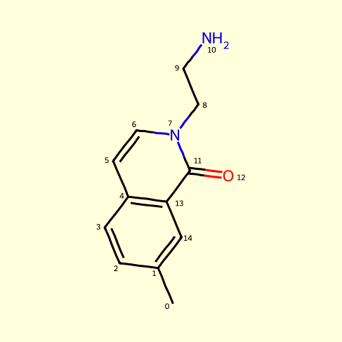 Cc1ccc2ccn(CCN)c(=O)c2c1